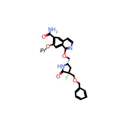 CC(C)Oc1cc2c(OC[C@@H]3C[C@@](F)(COCc4ccccc4)C(=O)N3)nccc2cc1C(N)=O